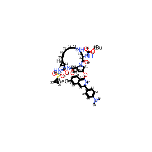 COc1ccc2c(OC3C[C@H]4C(=O)N[C@]5(C(=O)NS(=O)(=O)C6CC6)C[C@H]5/C=C\CCCNC[C@H](NC(=O)OC(C)(C)C)C(=O)N4C3)nc(-c3ccc(N(C)C)cc3)cc2c1